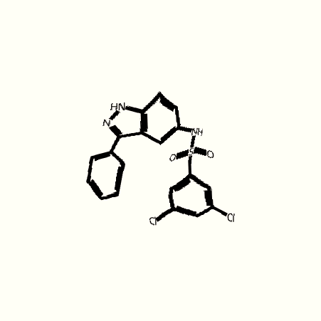 O=S(=O)(Nc1ccc2[nH]nc(-c3ccccc3)c2c1)c1cc(Cl)cc(Cl)c1